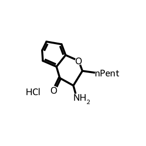 CCCCCC1Oc2ccccc2C(=O)C1N.Cl